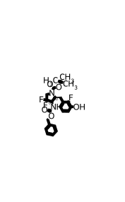 CC(C)(C)OC(=O)N1CC(F)(F)[C@H](NC(=O)OCc2ccccc2)[C@@H]1Cc1cccc(O)c1F